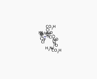 N[C@@H](CCC(=O)N1CCN(c2cccc3c2CCN(C(=O)/C=C/c2c(-n4cnnn4)ccc(Cl)c2F)C3C(=O)Nc2ccc(C(=O)O)cc2)C(=O)C1)C(=O)O